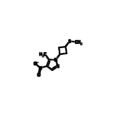 CSC1CC(n2ncc([N+](=O)[O-])c2C)C1